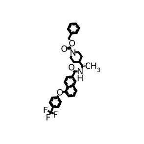 C[C@@H](NC(=O)c1ccc2c(Oc3ccc(C(F)(F)F)cc3)cccc2c1)C1CCN(C(=O)OCc2ccccc2)CC1